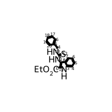 CCOC(=O)c1[nH]c2ccccc2c1NC(=S)NCc1ccccc1